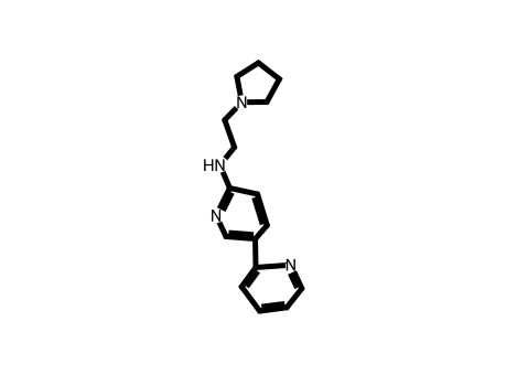 c1ccc(-c2ccc(NCCN3CCCC3)nc2)nc1